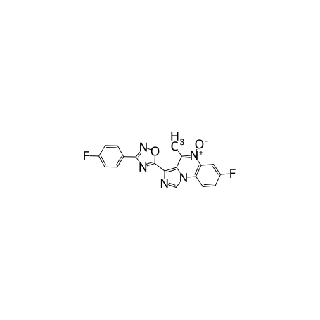 Cc1c2c(-c3nc(-c4ccc(F)cc4)no3)ncn2c2ccc(F)cc2[n+]1[O-]